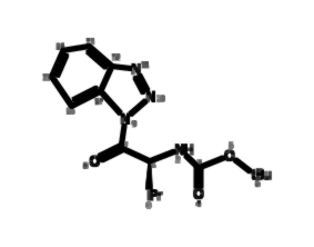 CC(C)[C@H](NC(=O)OC(C)(C)C)C(=O)n1nnc2ccccc21